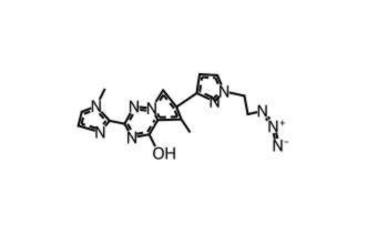 Cc1c(-c2ccn(CCN=[N+]=[N-])n2)cn2nc(-c3nccn3C)nc(O)c12